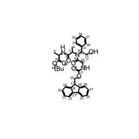 CC(NC(=O)C(C)N(C(=O)[C@H](C)NC(=O)OCC1c2ccccc2-c2ccccc21)[C@H](CO)c1ccccc1)C(=O)OC(C)(C)C